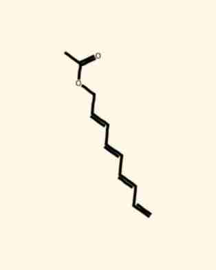 C=CC=CC=CC=CCOC(C)=O